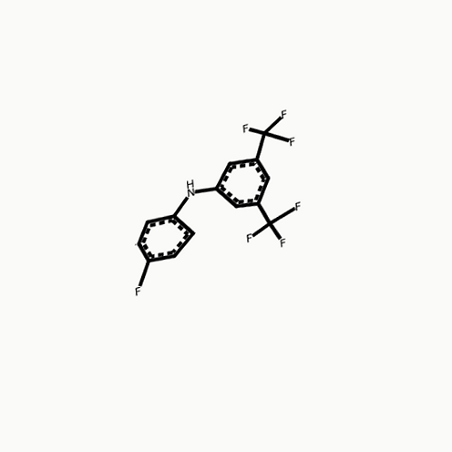 Fc1[c]cc(Nc2cc(C(F)(F)F)cc(C(F)(F)F)c2)cc1